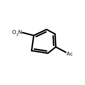 [CH]C(=O)c1ccc([N+](=O)[O-])cc1